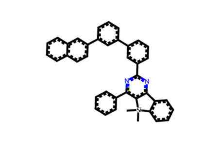 C[Si]1(C)c2ccccc2-c2nc(-c3cccc(-c4cccc(-c5ccc6ccccc6c5)c4)c3)nc(-c3ccccc3)c21